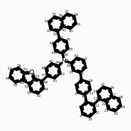 c1cc(-c2ccc(-c3ccccc3-c3cccc4ccccc34)cc2)cc(N(c2ccc(-c3cccc4ccccc34)cc2)c2ccc(-c3cccc4c3oc3ccccc34)cc2)c1